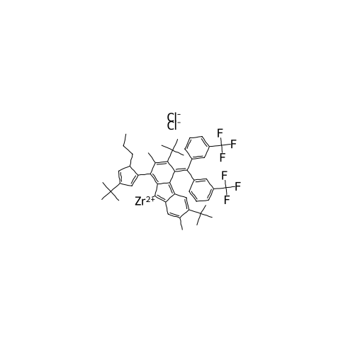 CCCC1C=C(C(C)(C)C)C=C1c1c(C)c(C(C)(C)C)c(=C(c2cccc(C(F)(F)F)c2)c2cccc(C(F)(F)F)c2)c2c1[C]([Zr+2])=c1cc(C)c(C(C)(C)C)cc1=2.[Cl-].[Cl-]